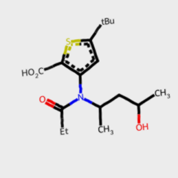 CCC(=O)N(c1cc(C(C)(C)C)sc1C(=O)O)C(C)CC(C)O